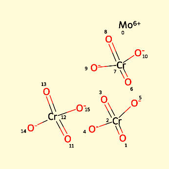 [Mo+6].[O]=[Cr](=[O])([O-])[O-].[O]=[Cr](=[O])([O-])[O-].[O]=[Cr](=[O])([O-])[O-]